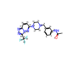 CC(=O)Nc1cccc(CN2CCN(c3ccc4nnc(C(F)(F)F)n4n3)CC2)c1